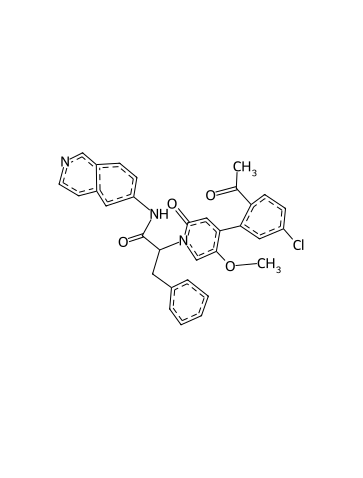 COc1cn(C(Cc2ccccc2)C(=O)Nc2ccc3cnccc3c2)c(=O)cc1-c1cc(Cl)ccc1C(C)=O